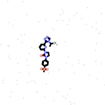 CC(n1cnnc1-c1cccc(N2CCN(c3ccc(S(C)(=O)=O)cc3)C2=O)n1)C(F)(F)F